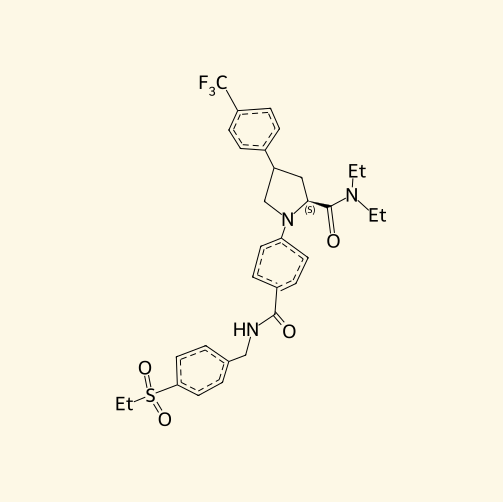 CCN(CC)C(=O)[C@@H]1CC(c2ccc(C(F)(F)F)cc2)CN1c1ccc(C(=O)NCc2ccc(S(=O)(=O)CC)cc2)cc1